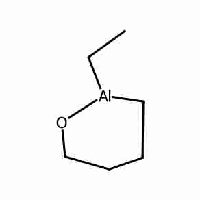 C[CH2][Al]1[CH2]CCC[O]1